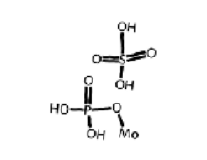 O=P(O)(O)[O][Mo].O=S(=O)(O)O